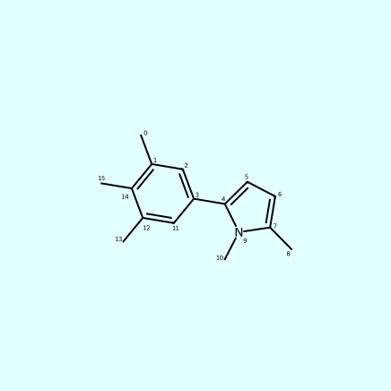 Cc1cc(-c2ccc(C)n2C)cc(C)c1C